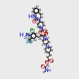 CN(C)C(=O)COC(=O)CCC1CCN(C2CCN(C(=O)[C@@H](Cc3cc(Cl)c(N)c(C(F)(F)F)c3)OC(=O)N3CCC(N4CCc5ccccc5NC4=O)CC3)CC2)CC1